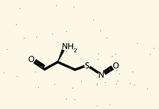 N[C@H](C=O)CSN=O